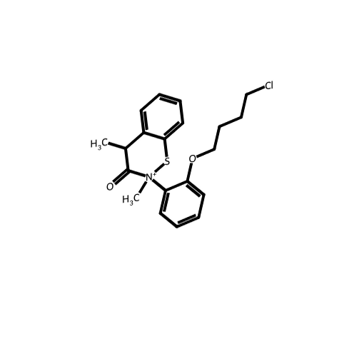 CC1C(=O)[N+](C)(c2ccccc2OCCCCCl)Sc2ccccc21